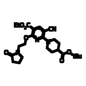 CCOC(=O)c1cc(C#N)c(N2CCC(C(=O)OC(C)(C)C)CC2)nc1OCCN1CCCC1=O